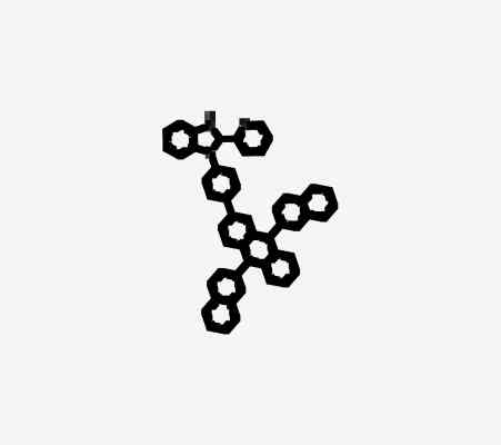 c1ccc(C2Nc3ccccc3N2c2ccc(-c3ccc4c(-c5ccc6ccccc6c5)c5ccccc5c(-c5ccc6ccccc6c5)c4c3)cc2)nc1